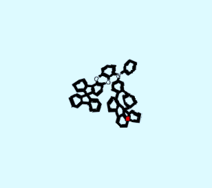 c1ccc(N(c2ccc3c(c2)-c2ccc(cc2)C2(c4ccccc4)c4ccccc4-c4cccc-3c42)c2cccc3c2Oc2ccc4c(c2O3)-c2ccccc2C42c3ccccc3-c3ccccc32)cc1